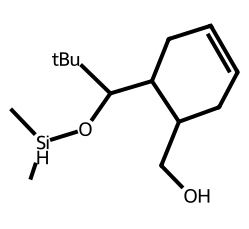 C[SiH](C)OC(C1CC=CCC1CO)C(C)(C)C